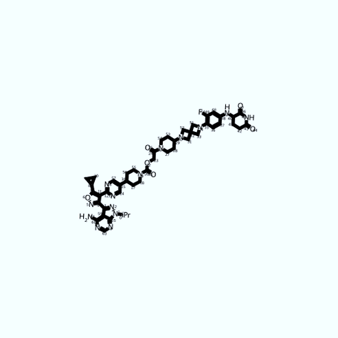 CC(C)n1nc(-c2noc(C3CC3)c2-c2ncc(C3CCN(C(=O)OCC(=O)N4CCC(N5CC6(CN(c7ccc(NC8CCC(=O)NC8=O)cc7F)C6)C5)CC4)CC3)cn2)c2c(N)ncnc21